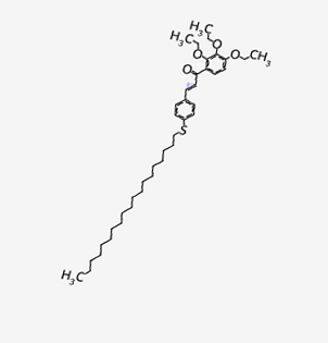 CCCCCCCCCCCCCCCCCCCSc1ccc(/C=C/C(=O)c2ccc(OCC)c(OCC)c2OCC)cc1